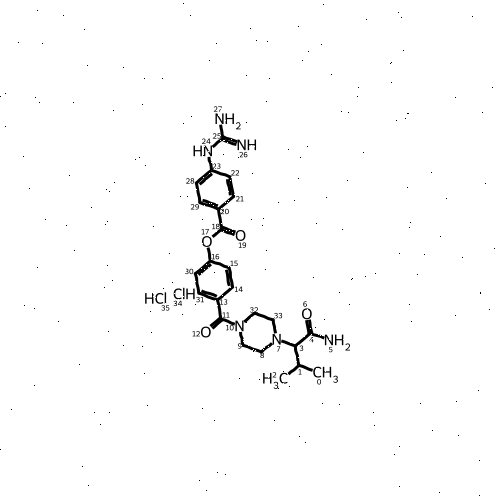 CC(C)C(C(N)=O)N1CCN(C(=O)c2ccc(OC(=O)c3ccc(NC(=N)N)cc3)cc2)CC1.Cl.Cl